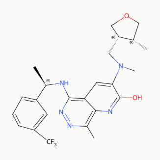 Cc1nnc(N[C@H](C)c2cccc(C(F)(F)F)c2)c2cc(N(C)C[C@@H]3COC[C@@H]3C)c(O)nc12